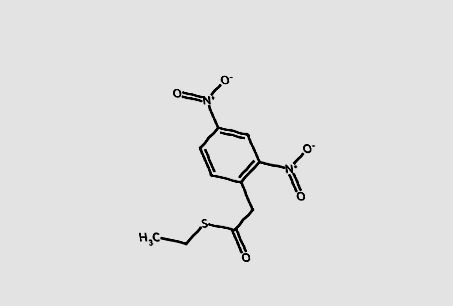 CCSC(=O)Cc1ccc([N+](=O)[O-])cc1[N+](=O)[O-]